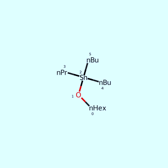 CCCCCC[O][Sn]([CH2]CC)([CH2]CCC)[CH2]CCC